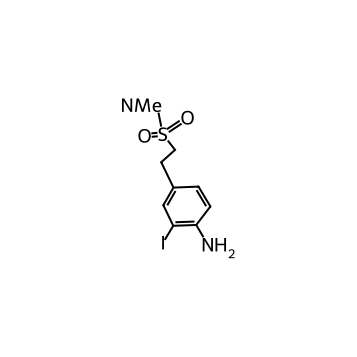 CNS(=O)(=O)CCc1ccc(N)c(I)c1